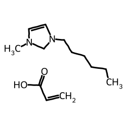 C=CC(=O)O.CCCCCCN1C=CN(C)C1